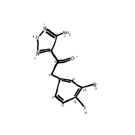 Nc1nonc1C(=O)Cc1ccc(F)c(Br)c1